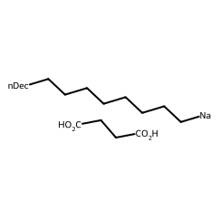 CCCCCCCCCCCCCCCCC[CH2][Na].O=C(O)CCC(=O)O